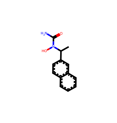 CC(c1ccc2ccccc2c1)N(O)C(N)=O